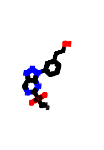 CS(=O)(=O)c1ncc2nnn(-c3cccc(CCO)c3)c2n1